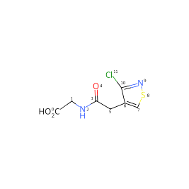 O=C(O)CNC(=O)Cc1csnc1Cl